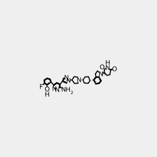 Nc1nnc(-c2cccc(F)c2O)cc1-c1cnn(C2CCN([C@H]3CC[C@@H](c4cccc5c4CCN5[C@@H]4CCC(=O)NC4=O)CC3)CC2)c1